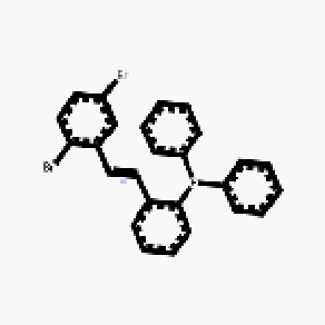 Brc1ccc(Br)c(/C=C/c2ccccc2P(c2ccccc2)c2ccccc2)c1